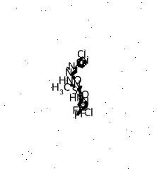 CC(NC(=O)c1cc(-c2ccnc(Cl)c2)ncn1)c1ncc(C(=O)Nc2cc(C(F)(F)F)c(Cl)cn2)s1